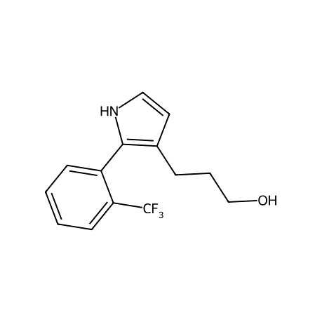 OCCCc1cc[nH]c1-c1ccccc1C(F)(F)F